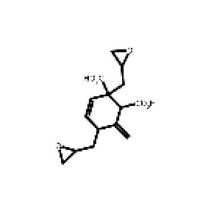 C=C1C(CC2CO2)C=CC(CC2CO2)(C(=O)O)C1C(=O)O